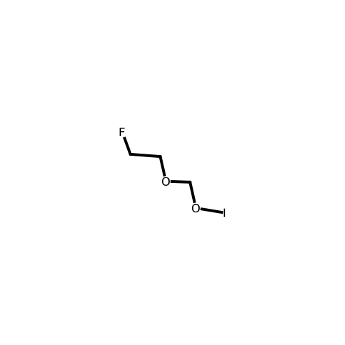 FCCOCOI